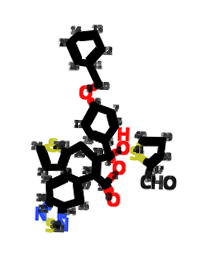 O=C1OC(O)(c2ccc(OCc3ccccc3)cc2)C(Cc2cccs2)=C1c1ccc2nsnc2c1.O=Cc1cccs1